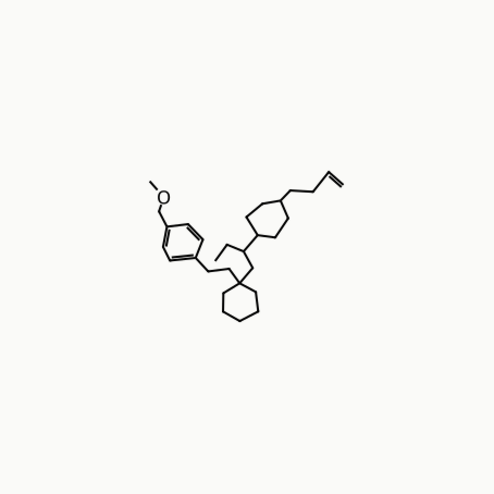 C=CCCC1CCC(C(CC)CC2(CCc3ccc(COC)cc3)CCCCC2)CC1